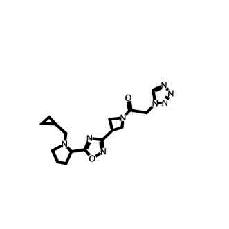 O=C(Cn1cnnn1)N1CC(c2noc(C3CCCN3CC3CC3)n2)C1